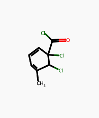 CC1=CC=CC(Cl)(C(=O)Cl)C1Cl